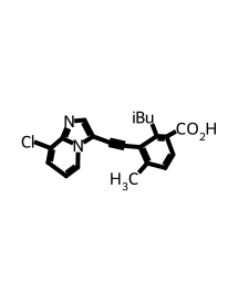 CCC(C)c1c(C(=O)O)ccc(C)c1C#Cc1cnc2c(Cl)cccn12